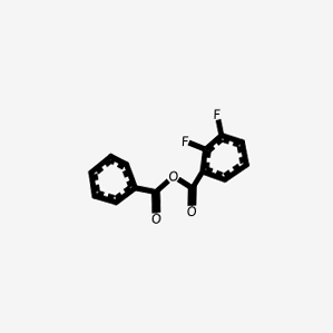 O=C(OC(=O)c1cccc(F)c1F)c1ccccc1